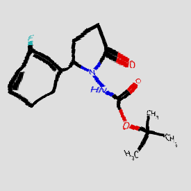 CC(C)(C)OC(=O)NN1C(=O)CCC1C1=C(F)C=CCC1